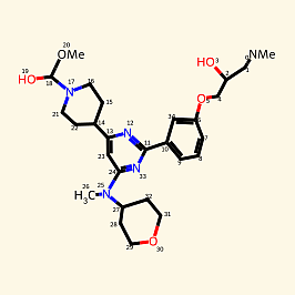 CNCC(O)COc1cccc(-c2nc(C3CCN(C(O)OC)CC3)cc(N(C)C3CCOCC3)n2)c1